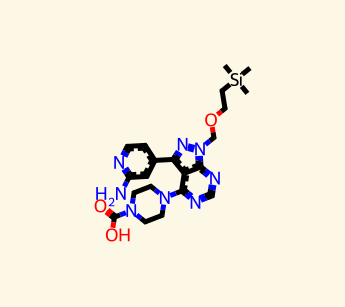 C[Si](C)(C)CCOCn1nc(-c2ccnc(N)c2)c2c(N3CCN(C(=O)O)CC3)ncnc21